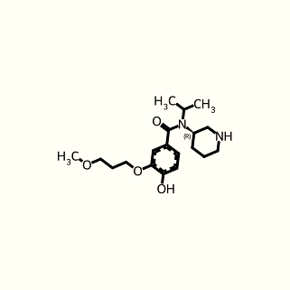 COCCCOc1cc(C(=O)N(C(C)C)[C@@H]2CCCNC2)ccc1O